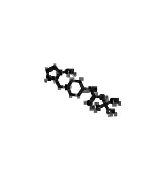 Cn1ccnc1CN1CCC(NC(=O)OC(C)(C)C)CC1